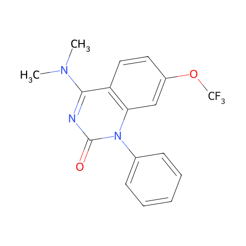 CN(C)c1nc(=O)n(-c2ccccc2)c2cc(OC(F)(F)F)ccc12